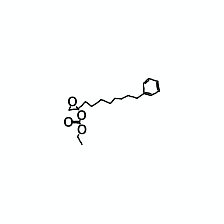 CCOC(=O)OC1(CCCCCCCCc2ccccc2)CO1